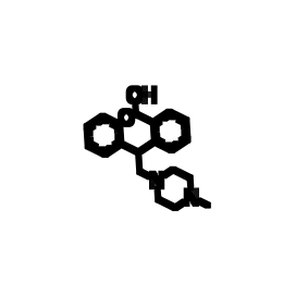 CN1CCN(CC(c2ccccc2)c2ccccc2C(=O)O)CC1